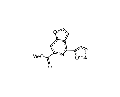 COC(=O)c1cc2occc2c(-c2ccco2)n1